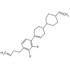 C=CCCc1ccc(C2=CCC(C3CCC(C=C)CC3)CC2)c(F)c1F